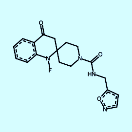 O=C1CC2(CCN(C(=O)NCc3ccno3)CC2)N(F)c2ccccc21